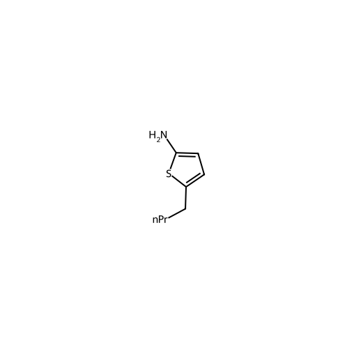 CCCCc1ccc(N)s1